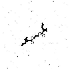 CC=CC1C(C(=O)OCCCOC(=O)C2C(C=CC)C2(C)C)C1(C)C